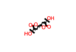 CC(C)(O)[C@H]1C[C@H]([C@H]2C[C@H](C(C)(C)O)C(=O)O2)OC1=O